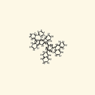 c1ccc2c(c1)-c1ccccc1-n1c3ccccc3c3cc4c(c-2c31)c1ccccc1n4-c1nc(-c2ccc3ccccc3c2)nc(-c2cc3ccccc3c3ccccc23)n1